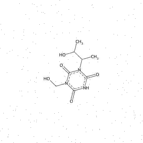 CC(O)C(C)n1c(=O)[nH]c(=O)n(CO)c1=O